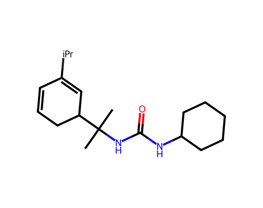 CC(C)C1=CC(C(C)(C)NC(=O)NC2CCCCC2)CC=C1